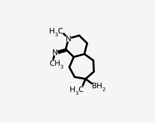 BC1(C)CCC2CCN(C)/C(=N/C)C2CC1